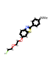 CNc1ccc(-c2nc3ccc(OCCOCCF)cc3s2)cc1